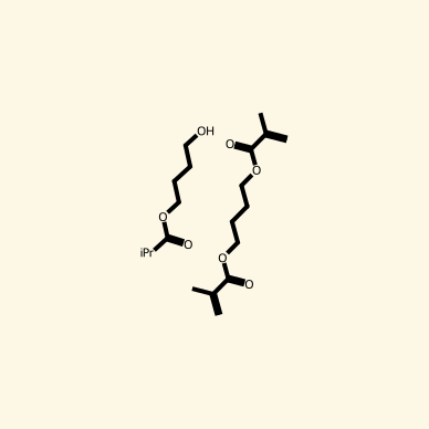 C=C(C)C(=O)OCCCCOC(=O)C(=C)C.CC(C)C(=O)OCCCCO